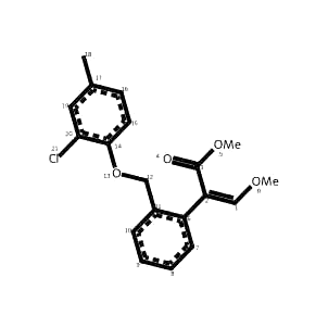 COC=C(C(=O)OC)c1ccccc1COc1ccc(C)cc1Cl